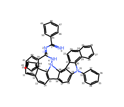 N=C(/N=C(\Nn1c2c3ccccc3ccc2c2ccc3c(c4ccc5ccccc5c4n3-c3ccccc3)c21)c1ccccc1)c1ccccc1